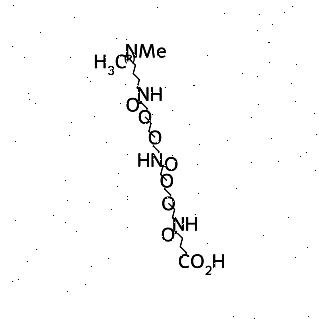 CN[C@H](C)CCCCNC(=O)COCCOCCNC(=O)COCCOCCNC(=O)CCCC(=O)O